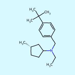 CCN(Cc1ccc(C(C)(C)C)cc1)C1CC[C@H](C)C1